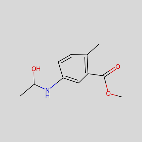 COC(=O)c1cc(NC(C)O)ccc1C